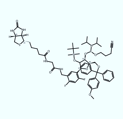 COc1ccc(C(OC[C@H]2O[C@@H](c3cc(CNC(=O)CNC(=O)CCCC[C@@H]4SC[C@@H]5NC(=O)N[C@@H]54)c(F)cc3F)C(O[Si](C)(C)C(C)(C)C)[C@H]2OP(OCCCC#N)N(C(C)C)C(C)C)(c2ccccc2)c2ccccc2)cc1